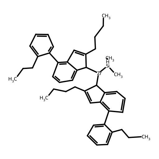 CCCCC1=Cc2c(-c3ccccc3CCC)cccc2[CH]1[Zr]([CH]1C(CCCC)=Cc2c(-c3ccccc3CCC)cccc21)[SiH](C)C